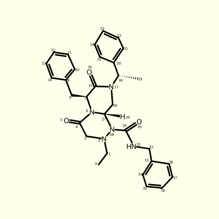 CCN1CC(=O)N2[C@@H](Cc3ccccc3)C(=O)N([C@@H](C)c3ccccc3)C[C@@H]2N1C(=O)NCc1ccccc1